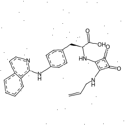 C=CCNc1c(N[C@@H](Cc2ccc(Nc3nccc4ccccc34)cc2)C(=O)O)c(=O)c1=O